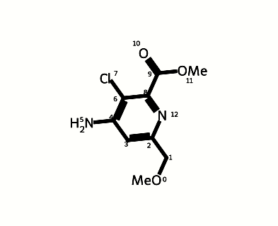 COCc1cc(N)c(Cl)c(C(=O)OC)n1